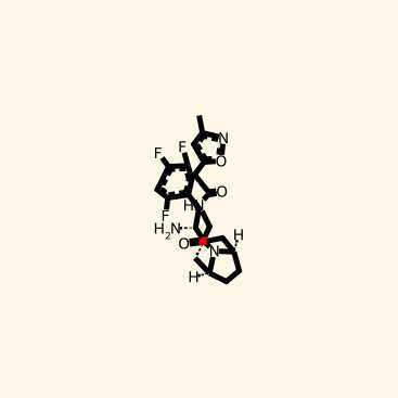 Cc1cc(CC(=O)NCC(=O)N2[C@@H]3CC[C@H]2C[C@H]([C@H](N)Cc2cc(F)c(F)cc2F)C3)on1